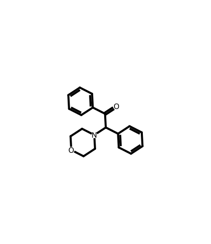 O=C(c1ccccc1)C(c1ccccc1)N1CCOCC1